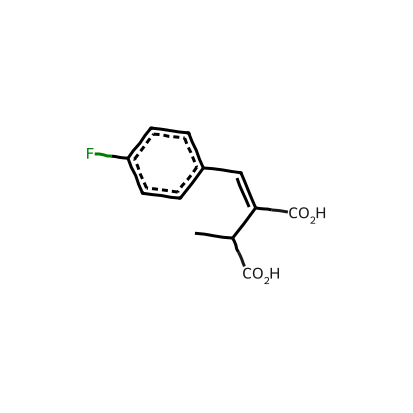 CC(C(=O)O)/C(=C\c1ccc(F)cc1)C(=O)O